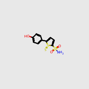 NS(=O)(=O)C1=CC=C(c2ccc(O)cc2)S1=S